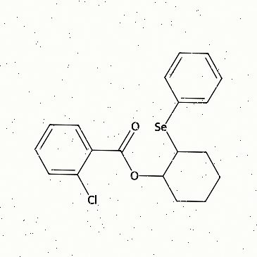 O=C(OC1CCCCC1[Se]c1ccccc1)c1ccccc1Cl